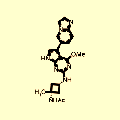 COc1nc(N[C@H]2C[C@@](C)(NC(C)=O)C2)nc2[nH]cc(-c3ccc4nccn4c3)c12